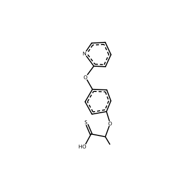 CC(Oc1ccc(Oc2ccccn2)cc1)C(O)=S